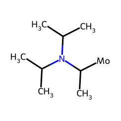 CC(C)N(C(C)C)[CH](C)[Mo]